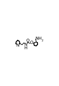 NCc1ccccc1OCC(=O)NCCc1ccccn1